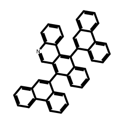 c1ccc2c(c1)cc(-c1c3ccccc3c(-c3cc4ccccc4c4ccccc34)c3c1cnc1ccccc13)c1ccccc12